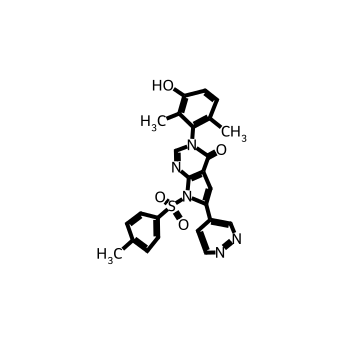 Cc1ccc(S(=O)(=O)n2c(-c3ccnnc3)cc3c(=O)n(-c4c(C)ccc(O)c4C)cnc32)cc1